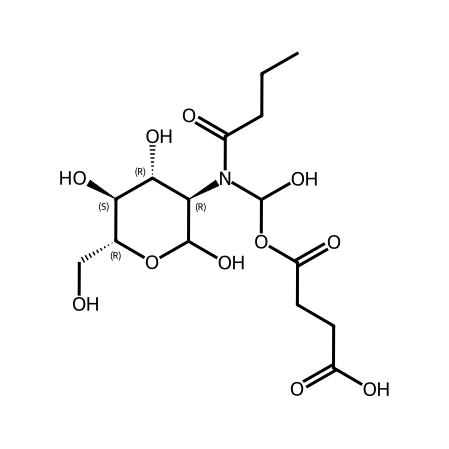 CCCC(=O)N(C(O)OC(=O)CCC(=O)O)[C@H]1C(O)O[C@H](CO)[C@@H](O)[C@@H]1O